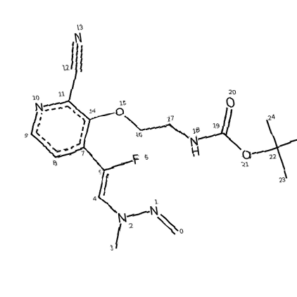 C=NN(C)/C=C(\F)c1ccnc(C#N)c1OCCNC(=O)OC(C)(C)C